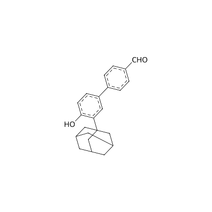 O=Cc1ccc(-c2ccc(O)c(C34CC5CC(CC(C5)C3)C4)c2)cc1